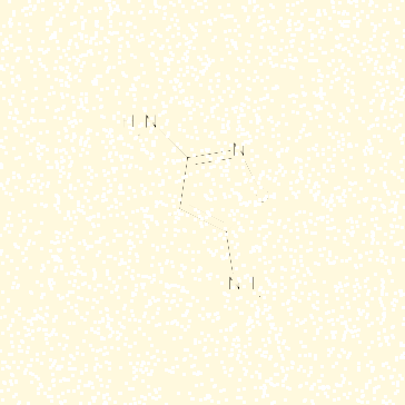 Nc1cc(N)on1